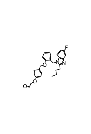 CCCCc1nc2cc(F)ccc2n1Cc1ccccc1OCc1ccc(OCC=O)cc1